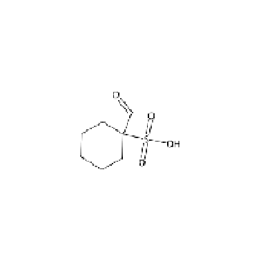 O=CC1(S(=O)(=O)O)CCCCC1